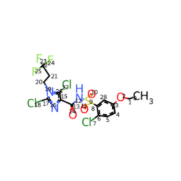 CCOc1ccc(Cl)c(S(=O)(=O)NC(=O)c2nc(Cl)n(CCC(F)(F)F)c2Cl)c1